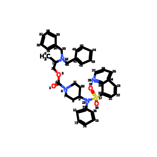 CC(COC(=O)N1CCC(N(c2ccccc2)S(=O)(=O)c2cccc3cccnc23)CC1)N(Cc1ccccc1)Cc1ccccc1